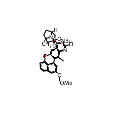 COCOc1cc(-c2c(F)cc3c(N4C[C@H]5CC[C@@](C)(C4)N5C(=O)OC(C)(C)C)nc(Cl)nc3c2F)c2c(Cl)cccc2c1